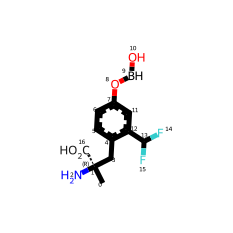 C[C@@](N)(Cc1ccc(OBO)cc1C(F)F)C(=O)O